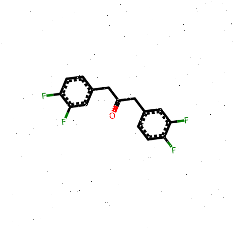 O=C(Cc1ccc(F)c(F)c1)Cc1ccc(F)c(F)c1